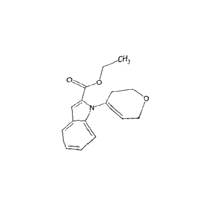 CCOC(=O)c1cc2ccccc2n1C1=CCOCC1